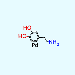 NCCc1ccc(O)c(O)c1.[Pd]